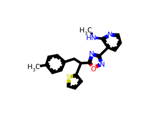 CNc1ncccc1-c1noc(C(Cc2ccc(C)cc2)c2cccs2)n1